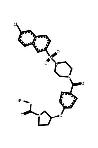 CC(C)(C)OC(=O)N1CC[C@H](Oc2ccc(C(=O)N3CCN(S(=O)(=O)c4ccc5cc(Cl)ccc5c4)CC3)cc2)C1